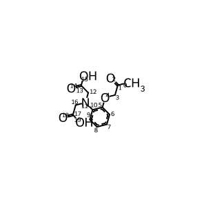 CC(=O)COc1ccccc1N(CC(=O)O)CC(=O)O